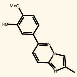 COc1ccc(-c2ccc3nc(C)cn3n2)cc1O